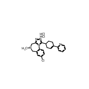 CN1Cc2cc(Cl)ccc2-n2c(nnc2C2CC=C(c3ccccn3)CC2)C1.Cl.Cl